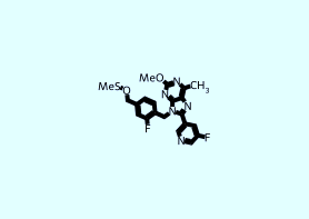 COc1nc(C)c2nc(-c3cncc(F)c3)n(Cc3ccc(COSC)cc3F)c2n1